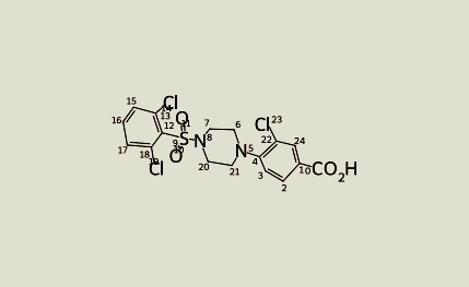 O=C(O)c1ccc(N2CCN(S(=O)(=O)c3c(Cl)cccc3Cl)CC2)c(Cl)c1